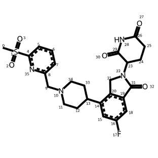 CS(=O)(=O)c1cccc(CN2CCC(c3cc(F)cc4c3CN(C3CCC(=O)NC3=O)C4=O)CC2)n1